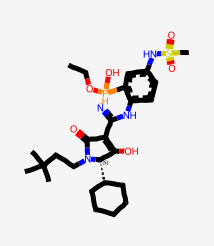 CCO[PH]1(O)N=C(C2=C(O)[C@H](C3CCCCC3)N(CCC(C)(C)C)C2=O)Nc2ccc(NS(C)(=O)=O)cc21